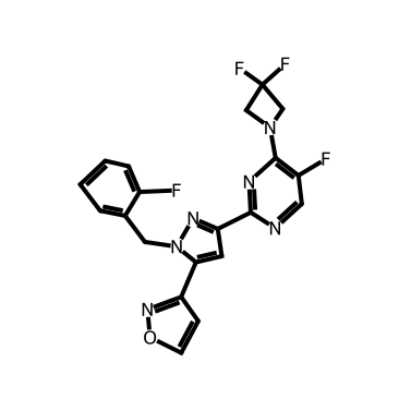 Fc1ccccc1Cn1nc(-c2ncc(F)c(N3CC(F)(F)C3)n2)cc1-c1ccon1